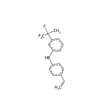 C=Cc1ccc(Bc2cccc(C(C)(F)C(F)(F)F)c2)cc1